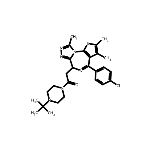 Cc1sc2c(c1C)C(c1ccc(Cl)cc1)=NC(CC(=O)N1CCN(C(C)(C)C)CC1)c1nnc(C)n1-2